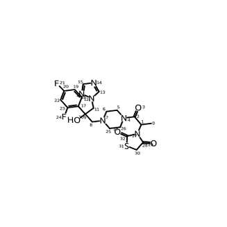 CC(C(=O)N1CCN(CC(O)(Cn2cncn2)c2ccc(F)cc2F)CC1)N1C(=O)CSC1=O